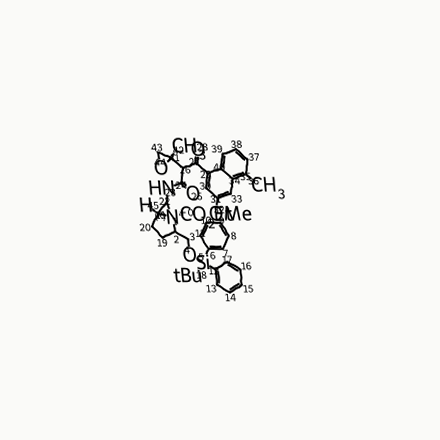 CCOC(=O)[N+]12C(CO[Si](c3ccccc3)(c3ccccc3)C(C)(C)C)CC[C@@H]1C2NC(=O)C(C(=O)c1cc(OC)cc2c(C)cccc12)C1(C)CO1